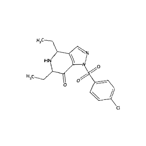 CCC1NC(CC)c2cnn(S(=O)(=O)c3ccc(Cl)cc3)c2C1=O